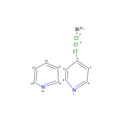 [Bi+3].[Cl-].[Cl-].[Cl-].c1ccncc1.c1ccncc1